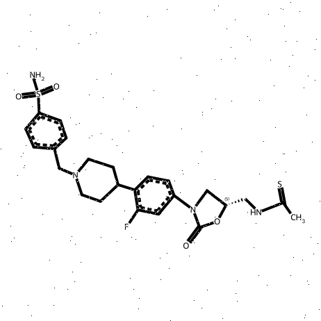 CC(=S)NC[C@H]1CN(c2ccc(C3CCN(Cc4ccc(S(N)(=O)=O)cc4)CC3)c(F)c2)C(=O)O1